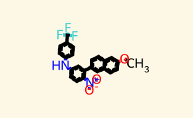 COc1ccc2cc(-c3cc(Nc4ccc(C(F)(F)F)cc4)ccc3[N+](=O)[O-])ccc2c1